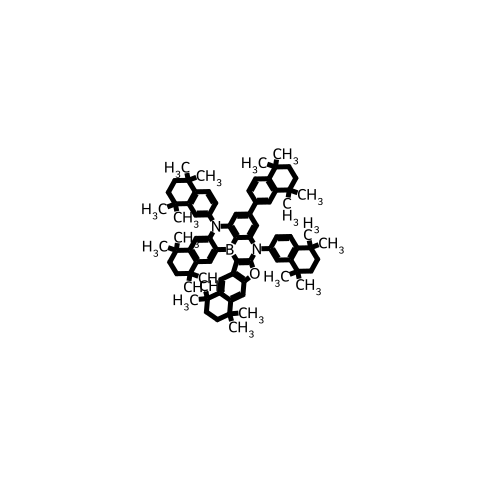 CC1(C)CCC(C)(C)c2cc(-c3cc4c5c(c3)N(c3ccc6c(c3)C(C)(C)CCC6(C)C)c3oc6cc7c(cc6c3B5c3cc5c(cc3N4c3ccc4c(c3)C(C)(C)CCC4(C)C)C(C)(C)CCC5(C)C)C(C)(C)CCC7(C)C)ccc21